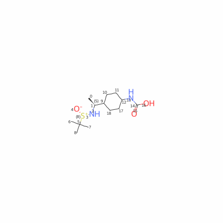 C[C@H](N[S@@+]([O-])C(C)(C)C)C1CCC(NC(=O)O)CC1